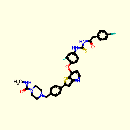 CNC(=O)N1CCN(Cc2ccc(-c3cc4nccc(Oc5ccc(NC(=S)NC(=O)Cc6ccc(F)cc6)cc5F)c4s3)cc2)CC1